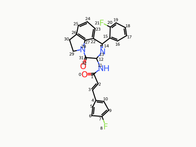 O=C(/C=C/c1ccc(F)cc1)NC1N=C(c2ccccc2F)c2cccc3c2N(CC3)C1=O